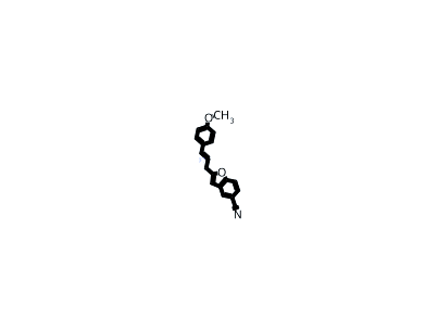 COc1ccc(/C=C/Cc2cc3cc(C#N)ccc3o2)cc1